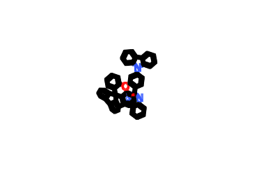 c1ccc2c(c1)Oc1ccccc1C21c2ccccc2-c2cccc(-c3nc(-c4ccc(-n5c6ccccc6c6ccccc65)cc4)nc4ccccc34)c21